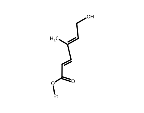 CCOC(=O)/C=C/C(C)=C/CO